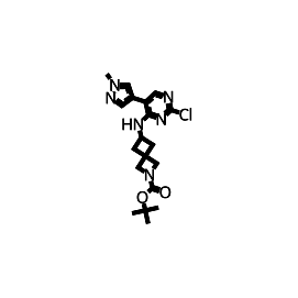 Cn1cc(-c2cnc(Cl)nc2NC2CC3(C2)CN(C(=O)OC(C)(C)C)C3)cn1